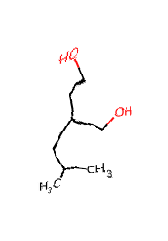 CC(C)CC(CO)CCO